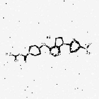 CC(C)OC(=O)N1CCC(Oc2ncnc3c2CCN3c2ccc([S+](C)[O-])cn2)CC1.Cl